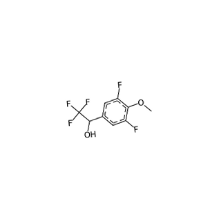 COc1c(F)cc(C(O)C(F)(F)F)cc1F